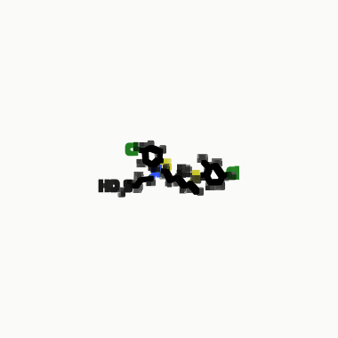 C=C(/C=C(/C=C1\Sc2ccc(Cl)cc2N1CCCS(=O)(=O)O)CC)Sc1ccc(Cl)cc1C